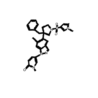 Cc1cc2c(cnn2-c2ccc(=O)n(C)c2)cc1C1(Cc2ccccc2)CCN(S(=O)(=O)c2ccn(C)c2)C1